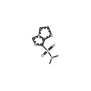 CN(C)S(=O)(=O)c1ncn2ccsc12